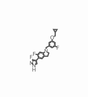 Fc1cc(CN2CCc3cc(-c4c[nH]nc4F)c(F)cc32)cc(OCC2CC2)c1